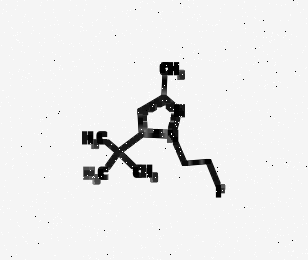 Cc1cc(C(C)(C)C)n(CCF)n1